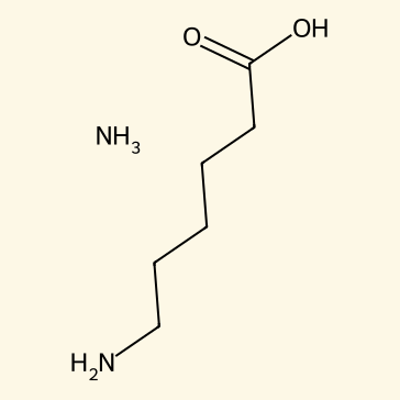 N.NCCCCCC(=O)O